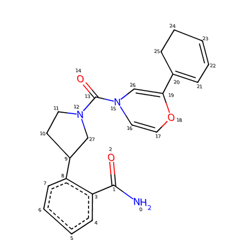 NC(=O)c1ccccc1C1CCN(C(=O)N2C=COC(C3=CC=CCC3)=C2)C1